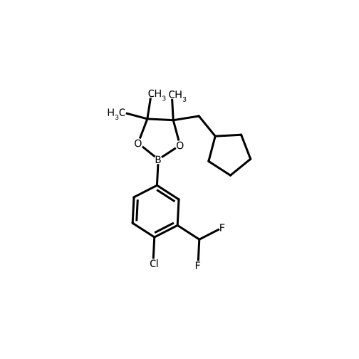 CC1(C)OB(c2ccc(Cl)c(C(F)F)c2)OC1(C)CC1CCCC1